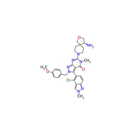 COc1ccc(Cn2nc3nc(N4CCC5(CC4)COC[C@H]5N)n(C)c(=O)c3c2-c2ccc3nn(C)cc3c2Cl)cc1